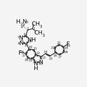 CC(C)[C@@H](CN)c1nnc(-c2cc3c(/C=C/c4ccc(F)cc4)n[nH]c3cc2F)[nH]1